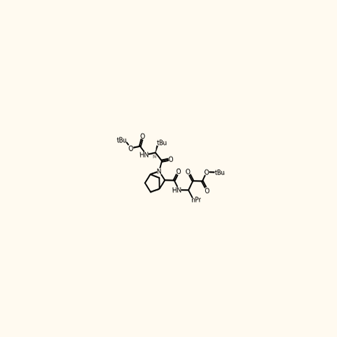 CCCC(NC(=O)C1C2CCC(C2)N1C(=O)[C@@H](NC(=O)OC(C)(C)C)C(C)(C)C)C(=O)C(=O)OC(C)(C)C